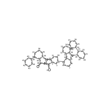 O=c1c2cc(-c3cccc4c3c3ccccc3n4-c3ccccc3-c3ccccc3)ccc2n2c3cccc(-c4ccccc4)c3c(=O)n12